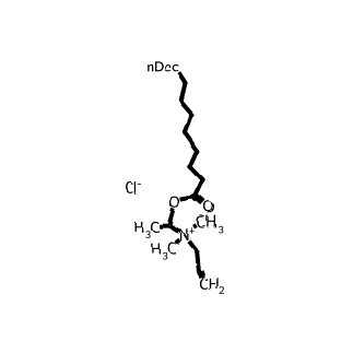 C=CC[N+](C)(C)C(C)OC(=O)CCCCCCCCCCCCCCCCC.[Cl-]